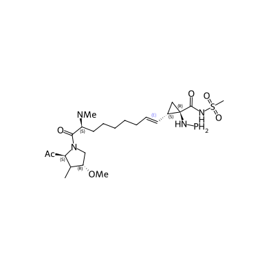 CN[C@@H](CCCCC/C=C/[C@@H]1C[C@]1(NP)C(=O)NS(C)(=O)=O)C(=O)N1C[C@H](OC)C(C)[C@H]1C(C)=O